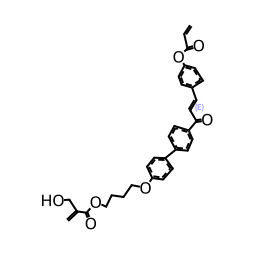 C=CC(=O)Oc1ccc(/C=C/C(=O)c2ccc(-c3ccc(OCCCCOC(=O)C(=C)CO)cc3)cc2)cc1